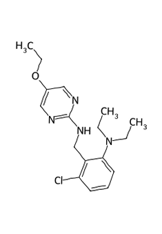 CCOc1cnc(NCc2c(Cl)cccc2N(CC)CC)nc1